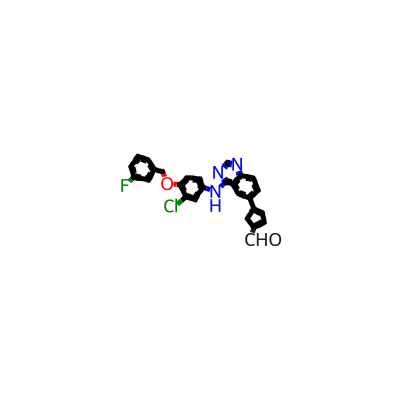 O=CC1=CC=C(c2ccc3ncnc(Nc4ccc(OCc5cccc(F)c5)c(Cl)c4)c3c2)C1